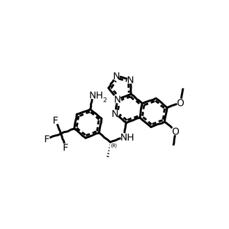 COc1cc2c(N[C@H](C)c3cc(N)cc(C(F)(F)F)c3)nn3cnnc3c2cc1OC